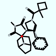 CC(C)N1C(=O)N(C)C(=O)C12CC1CCC(C2)N1C[C@H]1CN(C(=O)C2(C)CCC2)C[C@@H]1c1ccccc1